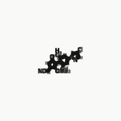 COC1=C(c2c(C)cc(-n3cc(Cl)cn3)cc2C)C(=O)CC1CC#N